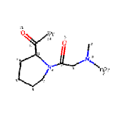 CCCN(C)CC(=O)N1CCCCC1C(=O)C(C)C